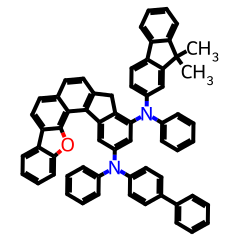 CC1(C)c2ccccc2-c2ccc(N(c3ccccc3)c3cc(N(c4ccccc4)c4ccc(-c5ccccc5)cc4)cc4c3Cc3ccc5ccc6c7ccccc7oc6c5c3-4)cc21